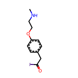 CNCCOc1ccc(CC(=O)I)cc1